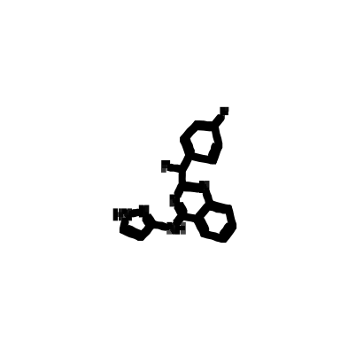 Fc1ccc(C(F)c2nc(Nc3cc[nH]n3)c3ccccc3n2)cc1